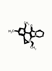 CCOc1c(-c2c(CC)cc(C)cc2C2CC2)c(=O)n2n1CCCC2